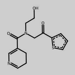 O=C(CN(CCO)C(=O)C1=CN=CCC1)c1cccs1